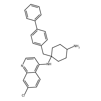 NC1CCC(Cc2ccc(-c3ccccc3)cc2)(Nc2ccnc3cc(Cl)ccc23)CC1